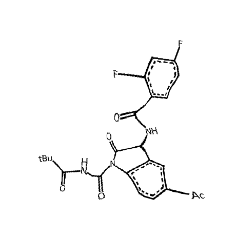 CC(=O)c1ccc2c(c1)C(NC(=O)c1ccc(F)cc1F)C(=O)N2C(=O)NC(=O)C(C)(C)C